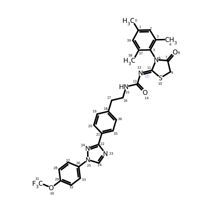 Cc1cc(C)c(N2C(=O)CS/C2=N\C(=O)NCCc2ccc(-c3ncn(-c4ccc(OC(F)(F)F)cc4)n3)cc2)c(C)c1